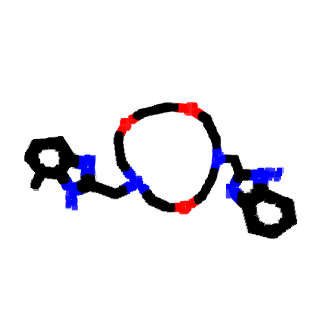 Cc1cccc2nc(CN3CCOCCOCCN(Cc4nc5ccccc5[nH]4)CCOCC3)[nH]c12